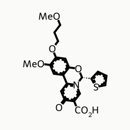 COCCCOc1cc2c(cc1OC)-c1cc(=O)c(C(=O)O)cn1[C@@H](c1cccs1)O2